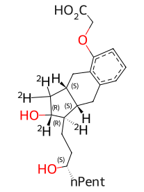 [2H]C1([2H])[C@@H]2Cc3c(cccc3OCC(=O)O)C[C@@H]2[C@@]([2H])(CC[C@@H](O)CCCCC)[C@]1([2H])O